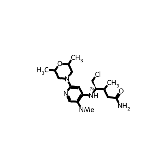 CNc1cnc(N2CC(C)OC(C)C2)cc1N[C@@H](CCl)C(C)CC(N)=O